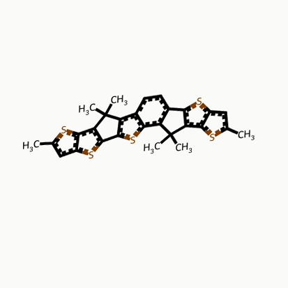 Cc1cc2sc3c(c2s1)C(C)(C)c1c-3sc2c3c(ccc12)-c1sc2cc(C)sc2c1C3(C)C